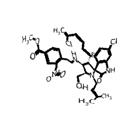 C=C(Cl)/C=C\C=C(/F)[C@H]1[C@H](NCc2ccc(C(=O)OC)cc2[N+](=O)[O-])[C@H](CO)N(CC=C(C)C)[C@@]12C(=O)Nc1cc(Cl)ccc12